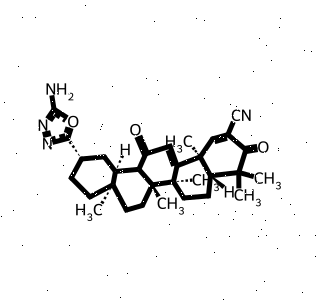 CC1(C)C(=O)C(C#N)=C[C@]2(C)C3=CC(=O)C4[C@@H]5C[C@@H](c6nnc(N)o6)CC[C@]5(C)CC[C@@]4(C)[C@]3(C)CC[C@@H]12